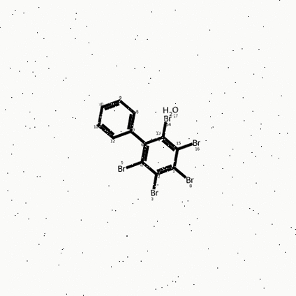 Brc1c(Br)c(Br)c(-c2ccccc2)c(Br)c1Br.O